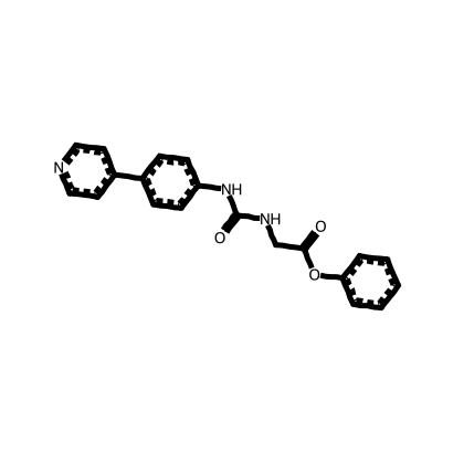 O=C(NCC(=O)Oc1ccccc1)Nc1ccc(-c2ccncc2)cc1